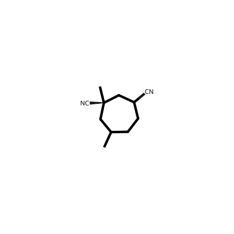 CC1CCC(C#N)C[C@](C)(C#N)C1